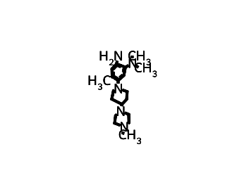 Cc1cc(N)c(N(C)C)cc1N1CCC(N2CCN(C)CC2)CC1